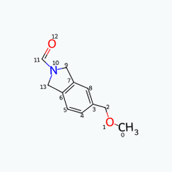 COCc1ccc2c(c1)CN(C=O)C2